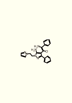 N/C(=C(/Cl)c1c(-c2ccccc2)nn(CCn2cccn2)c1N)c1ccccc1